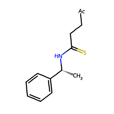 CC(=O)CCC(=S)N[C@H](C)c1ccccc1